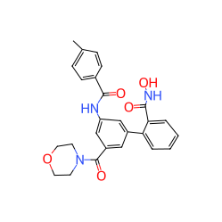 Cc1ccc(C(=O)Nc2cc(C(=O)N3CCOCC3)cc(-c3ccccc3C(=O)NO)c2)cc1